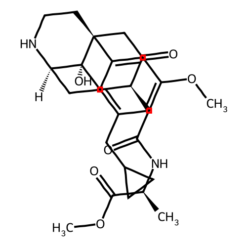 COC(=O)[C@H](C)NC(=O)C[C@H]1C[C@@]2(O)[C@H]3Cc4c(CC5CC5)cc(OC)cc4[C@@]2(CCN3)CC1=O